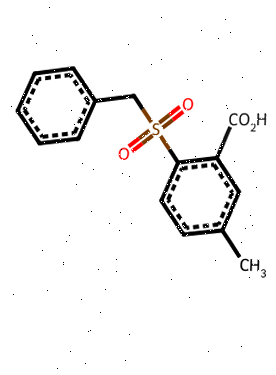 Cc1ccc(S(=O)(=O)Cc2ccccc2)c(C(=O)O)c1